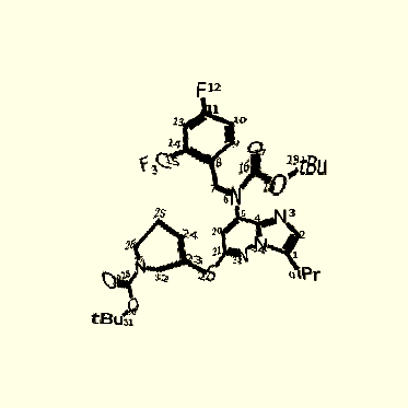 CC(C)c1cnc2c(N(Cc3ccc(F)cc3C(F)(F)F)C(=O)OC(C)(C)C)cc(SC3CCCN(C(=O)OC(C)(C)C)C3)nn12